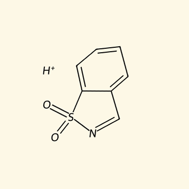 O=S1(=O)N=Cc2ccccc21.[H+]